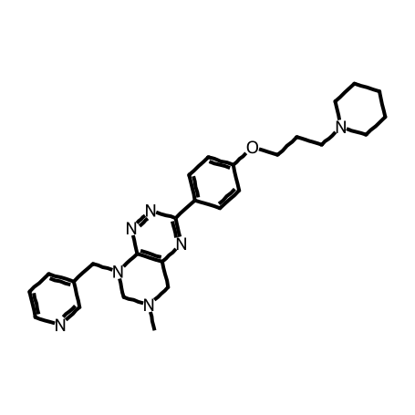 CN1Cc2nc(-c3ccc(OCCCN4CCCCC4)cc3)nnc2N(Cc2cccnc2)C1